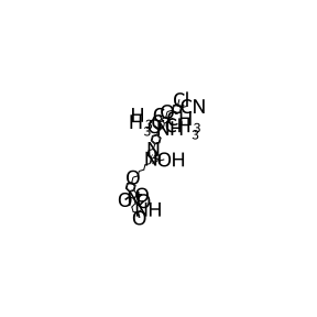 CC1(C)C(NC(=O)c2ccc(N3CCN(CCCCCOc4ccc5c(c4)C(=O)N(C4CCC(=O)NC4=O)C5=O)[C@H](CO)C3)cc2)C(C)(C)C1Oc1ccc(C#N)c(Cl)c1